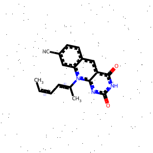 C/C=C\C=C(/C)n1c2nc(=O)[nH]c(=O)c-2cc2ccc(C#N)cc21